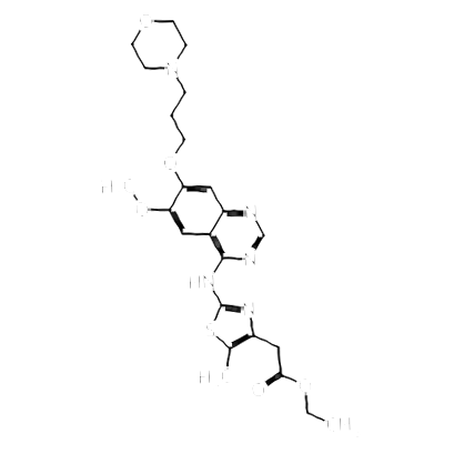 CCOC(=O)Cc1nc(Nc2ncnc3cc(OCCCN4CCOCC4)c(OC)cc23)sc1C